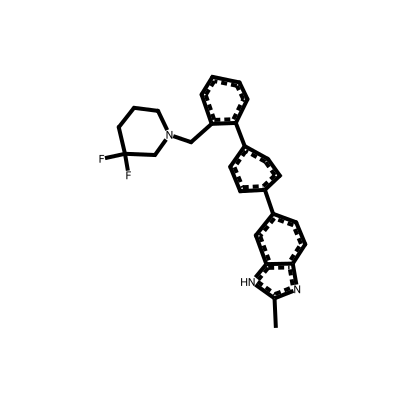 Cc1nc2ccc(-c3ccc(-c4ccccc4CN4CCCC(F)(F)C4)cc3)cc2[nH]1